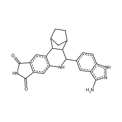 Nc1n[nH]c2ccc(C3Nc4cc5c(cc4C4C6CCC(C6)C34)C(=O)NC5=O)cc12